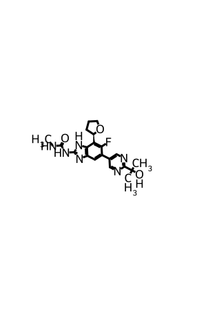 CNC(=O)Nc1nc2cc(-c3cnc(C(C)(C)O)nc3)c(F)c([C@H]3CCCO3)c2[nH]1